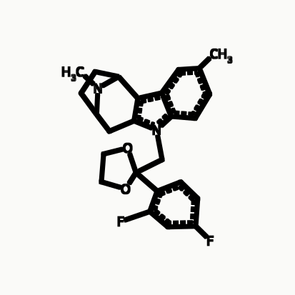 Cc1ccc2c(c1)c1c(n2CC2(c3ccc(F)cc3F)OCCO2)CC2CCC1N2C